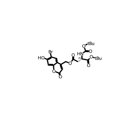 CC(C)(C)OC(=O)N[C@@H](CC(=O)OCc1cc(=O)oc2cc(O)c(Br)cc12)C(=O)OC(C)(C)C